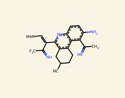 CN/C=C(\C(=N)C(F)(F)F)c1nc2ccc(N)c(C(C)=N)c2c2c1CC(C#N)CC2